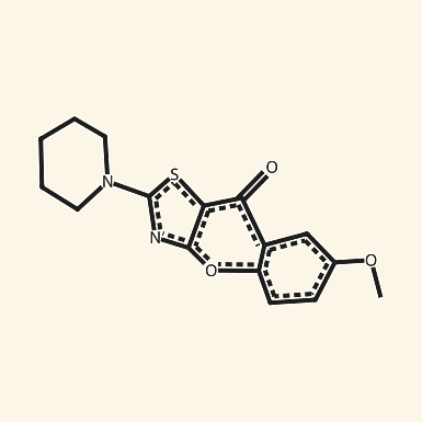 COc1ccc2oc3nc(N4CCCCC4)sc3c(=O)c2c1